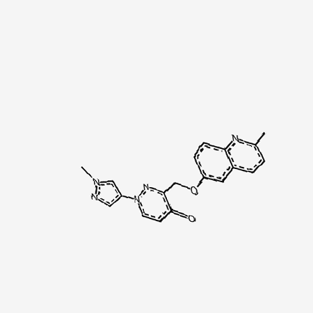 Cc1ccc2cc(OCc3nn(-c4cnn(C)c4)ccc3=O)ccc2n1